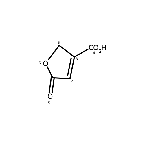 O=C1C=C(C(=O)O)CO1